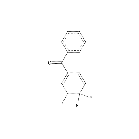 CC1C=C(C(=O)c2ccccc2)C=CC1(F)F